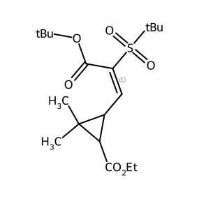 CCOC(=O)C1C(/C=C(\C(=O)OC(C)(C)C)S(=O)(=O)C(C)(C)C)C1(C)C